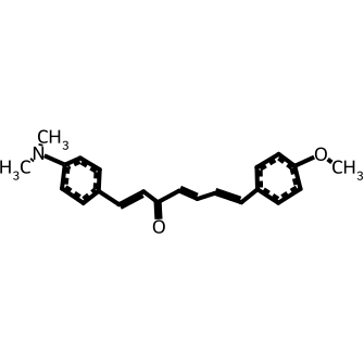 COc1ccc(/C=C/C=C/C(=O)/C=C/c2ccc(N(C)C)cc2)cc1